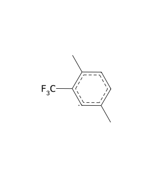 Cc1[c]c(C(F)(F)F)c(C)cc1